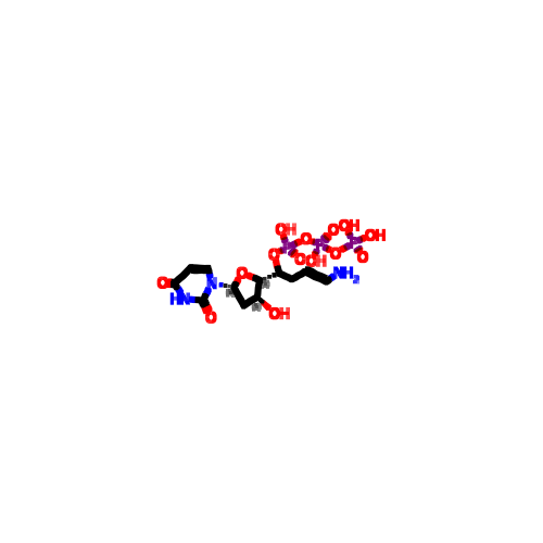 NC=CCC(OP(=O)(O)OP(=O)(O)OP(=O)(O)O)[C@H]1O[C@@H](n2ccc(=O)[nH]c2=O)C[C@@H]1O